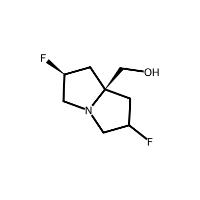 OC[C@@]12CC(F)CN1C[C@@H](F)C2